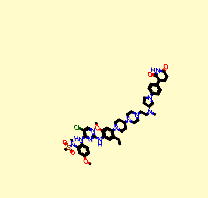 CCc1cc(Nc2ncc(Cl)c(Nc3ccc(OC)cc3N(C)S(C)(=O)=O)n2)c(OC)cc1N1CCC(N2CCN(CCN(C)[C@@H]3CCN(c4ccc(C5CCC(=O)NC5=O)cc4)C3)CC2)CC1